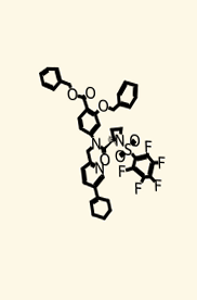 O=C(OCc1ccccc1)c1ccc(N(Cc2ccc(C3=CCCCC3)cn2)C(=O)[C@H]2CCN2S(=O)(=O)c2c(F)c(F)c(F)c(F)c2F)cc1OCc1ccccc1